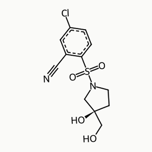 N#Cc1cc(Cl)ccc1S(=O)(=O)N1CC[C@](O)(CO)C1